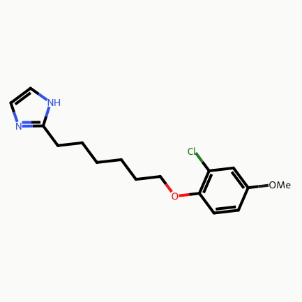 COc1ccc(OCCCCCCc2ncc[nH]2)c(Cl)c1